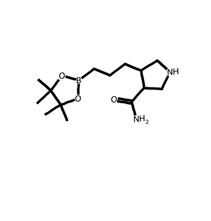 CC1(C)OB(CCCC2CNCC2C(N)=O)OC1(C)C